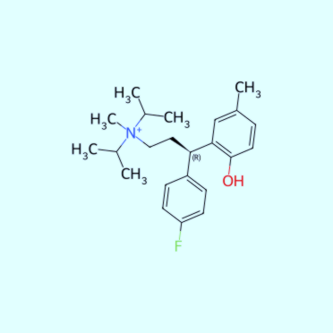 Cc1ccc(O)c([C@H](CC[N+](C)(C(C)C)C(C)C)c2ccc(F)cc2)c1